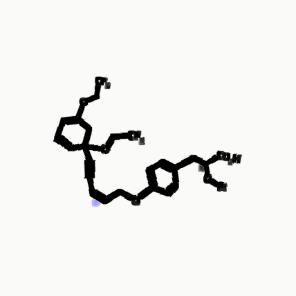 CCO[C@@H](Cc1ccc(OC/C=C\C#CC2(OCC(F)(F)F)C=CC=C(OCC(F)(F)F)C2)cc1)C(=O)O